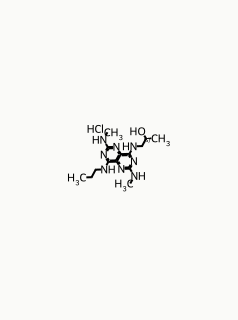 CCCNc1nc(NC)nc2c(NC[C@H](C)O)nc(NC)nc12.Cl